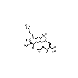 COCCCOc1cc2c(cc1C(=O)N(C)C)-c1c(cc(C(=O)O)c(=O)n1C1CC1)CS2(=O)=O